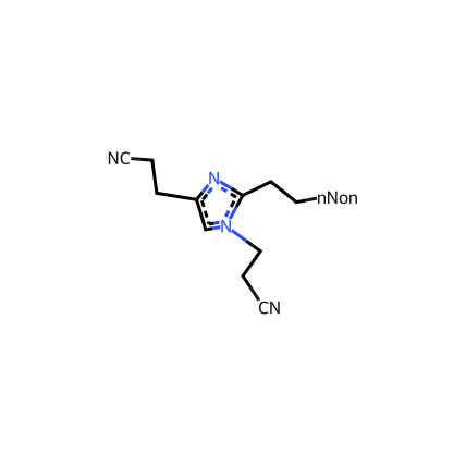 CCCCCCCCCCCc1nc(CCC#N)cn1CCC#N